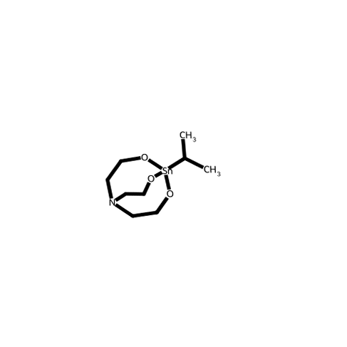 C[CH](C)[Sn]12[O]CCN(CC[O]1)CC[O]2